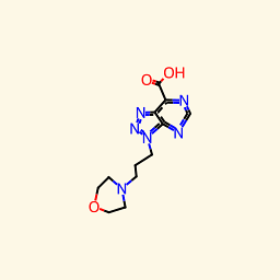 O=C(O)c1ncnc2c1nnn2CCCN1CCOCC1